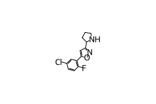 Fc1ccc(Cl)cc1-c1cc(C2CCCN2)no1